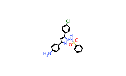 Nc1ccc(-c2cc(-c3ccc(Cl)cc3)n(NS(=O)(=O)c3ccccc3)n2)cc1